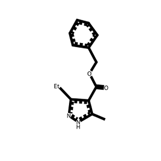 [CH2]Cc1n[nH]c(C)c1C(=O)OCc1ccccc1